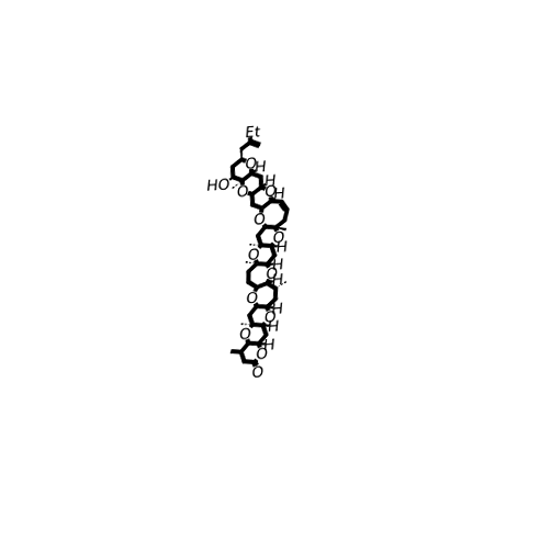 C=C(CC)C[C@@H]1C[C@H](O)[C@]2(C)OC3CC4OC5C[C@]6(C)O[C@]7(C)CCC8OC9C[C@]%10(C)OC%11C(C)CC(=O)O[C@H]%11C[C@H]%10O[C@H]9C[C@@H](C)[C@H]8O[C@H]7C[C@H]6O[C@@]5(C)C/C=C\[C@H]4O[C@H]3C[C@H]2O1